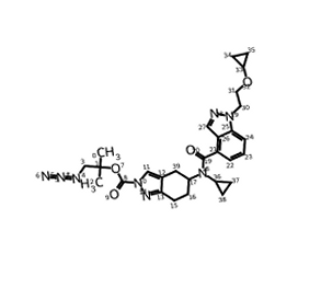 CC(C)(CN=[N+]=[N-])OC(=O)n1cc2c(n1)CCC(N(C(=O)c1cccc3c1cnn3CCOC1CC1)C1CC1)C2